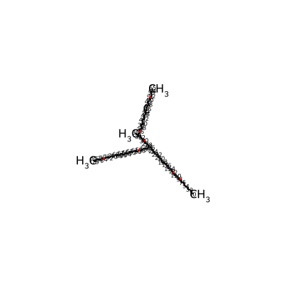 CCCCCCCCCCCCCCCCCCCCCCCCCCCC(CC[CH]CCCC(C)CCCCCCCCCCCCCCCCCCCC)CCCCCCCCCCCCCCCCCCCCCCCC